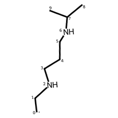 [CH2]CNCCCNC(C)C